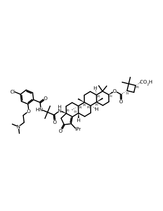 CC(C)C1=C2[C@H]3CC[C@@H]4[C@@]5(C)CC[C@H](OC(=O)[C@H]6C[C@@H](C(=O)O)C6(C)C)C(C)(C)[C@@H]5CC[C@@]4(C)[C@]3(C)CC[C@@]2(NC(=O)C(C)(C)NC(=O)c2ccc(Cl)cc2OCCN(C)C)CC1=O